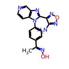 CC(=NO)c1ccc(-n2c(-c3nonc3N)nc3cnccc32)cc1